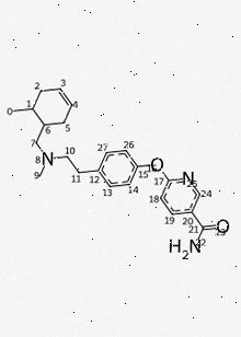 CC1CC=CCC1CN(C)CCc1ccc(Oc2ccc(C(N)=O)cn2)cc1